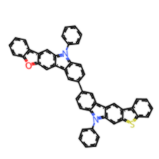 c1ccc(-n2c3ccc(-c4ccc5c(c4)c4cc6oc7ccccc7c6cc4n5-c4ccccc4)cc3c3cc4c(cc32)sc2ccccc24)cc1